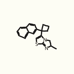 CC1CN2C(C3(c4ccc5ccccc5c4)CCC3)=CSC2=N1